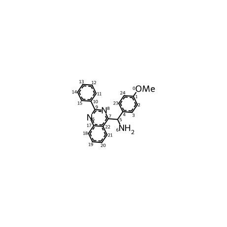 COc1ccc(C(N)c2nc(-c3ccccc3)nc3ccccc23)cc1